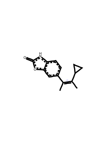 C/C(=C(\C)C1CC1)c1ccc2[nH]c(=O)oc2c1